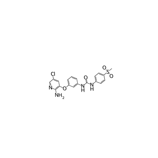 CS(=O)(=O)c1ccc(NC(=O)Nc2cccc(Oc3cc(Cl)cnc3N)c2)cc1